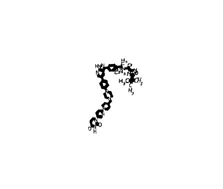 Cc1cc(-c2n[nH]c3ncc(-c4ccc(N5CCN(CC6CCN(c7ccc(N8CCC(=O)NC8=O)cn7)CC6)CC5)cc4)cc23)ccc1[C@@H](C)NC(=O)c1noc(C(C)(C)C)n1